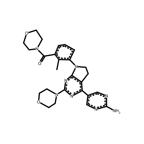 Cc1c(C(=O)N2CCOCC2)cccc1N1CCc2c(-c3cnc(N)nc3)nc(N3CCOCC3)nc21